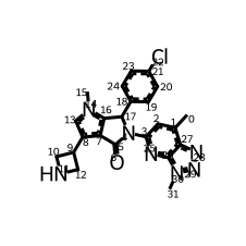 Cc1cc(N2C(=O)c3c(C4CNC4)cn(C)c3C2c2ccc(Cl)cc2)nc2c1nnn2C